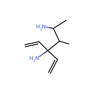 C=CC(N)(C=C)C(C)C(C)N